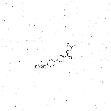 CCCCCCCCCC1CCC(c2ccc(C(=O)OCC(F)F)cc2)CC1